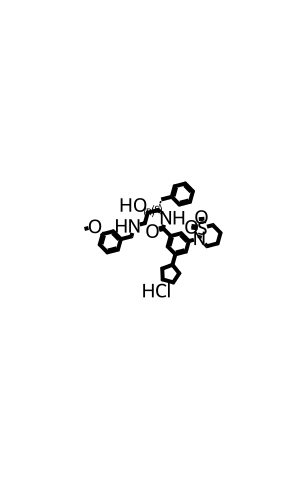 COc1cccc(CNC[C@@H](O)[C@H](Cc2ccccc2)NC(=O)c2cc(C3CCCC3)cc(N3CCCCS3(=O)=O)c2)c1.Cl